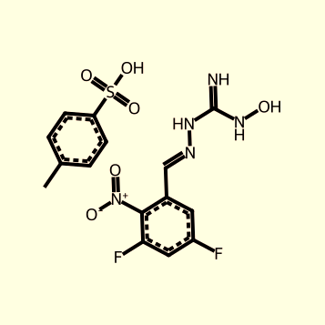 Cc1ccc(S(=O)(=O)O)cc1.N=C(NO)NN=Cc1cc(F)cc(F)c1[N+](=O)[O-]